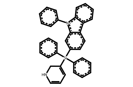 C1=CNCC([Si](c2ccccc2)(c2ccccc2)c2ccc3c4ccccc4n(-c4ccccc4)c3c2)=C1